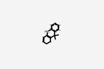 CC1(C)C2=C(C=CCC2)Nc2ccccc21